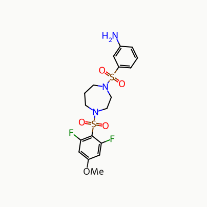 COc1cc(F)c(S(=O)(=O)N2CCCN(S(=O)(=O)c3cccc(N)c3)CC2)c(F)c1